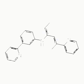 C/C=C(\C=C(/C)c1ccccn1)Nc1cccc(-c2ccccn2)c1